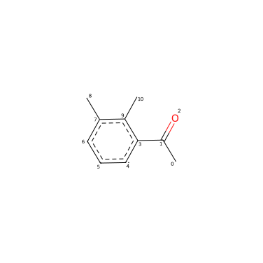 CC(=O)c1[c]ccc(C)c1C